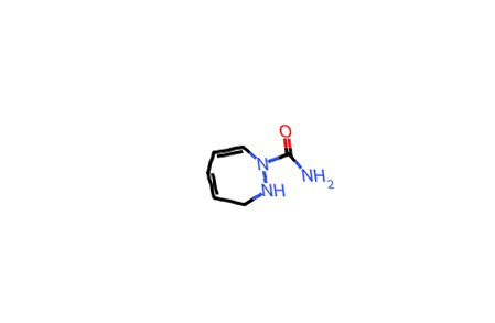 NC(=O)N1C=CC=CCN1